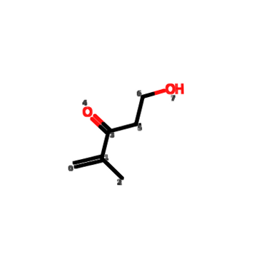 C=C(C)C(=O)[CH]CO